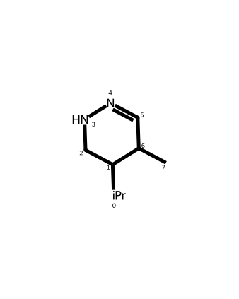 CC(C)C1CNN=CC1C